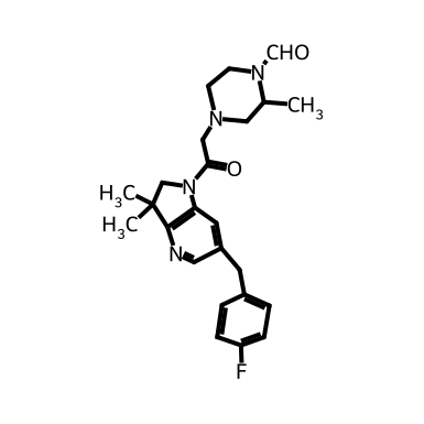 CC1CN(CC(=O)N2CC(C)(C)c3ncc(Cc4ccc(F)cc4)cc32)CCN1C=O